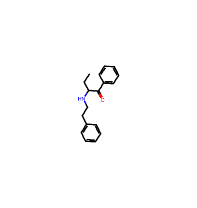 CCC(NCCc1ccccc1)C(=O)c1ccccc1